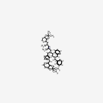 CC1(C)OC2CCOC(CN(N)/C=C(\N)CN(CCN(Cc3ccccn3)Cc3ccccn3)Cc3cn(CC4OCCC5OC(C)(C)OC45)nn3)C2O1